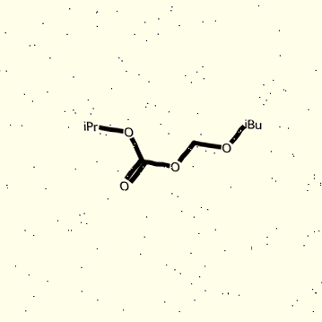 CCC(C)OCOC(=O)OC(C)C